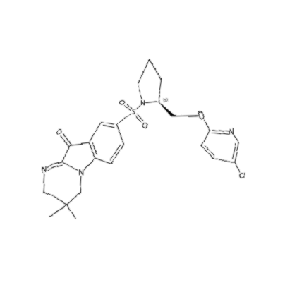 CC1(C)CN=C2C(=O)c3cc(S(=O)(=O)N4CCC[C@H]4COc4ccc(Cl)cn4)ccc3N2C1